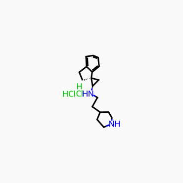 Cl.Cl.c1ccc2c(c1)CC[C@@]21C[C@H]1NCCC1CCNCC1